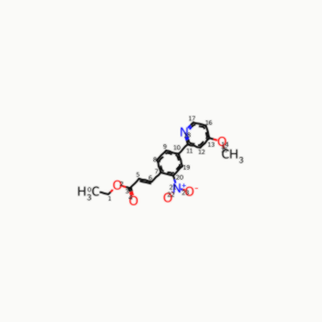 CCOC(=O)C=Cc1ccc(-c2cc(OC)ccn2)cc1[N+](=O)[O-]